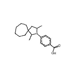 CC1CC2(CCCCCC2)C(C)N1c1ccc(C(=O)O)cc1